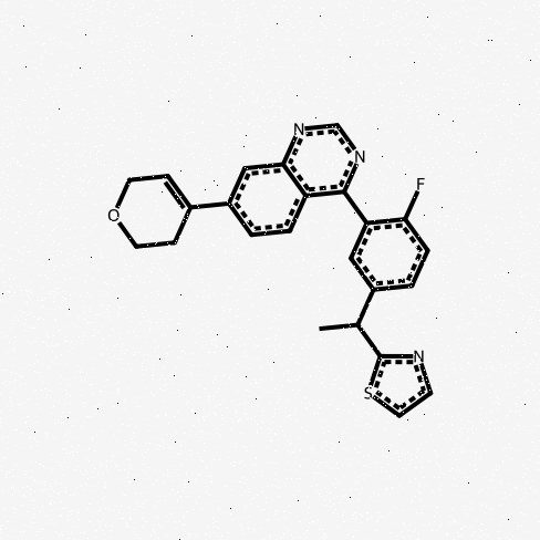 CC(c1ccc(F)c(-c2ncnc3cc(C4=CCOCC4)ccc23)c1)c1nccs1